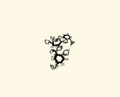 Cc1cccc(C2CC2)c1Oc1nnc(Cl)cc1OC(=O)c1cc(Br)ccc1Cl